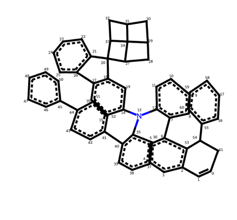 C1=Cc2cccc(-c3ccccc3N(c3ccc4c(c3)C3(c5ccccc5-4)C4CC5CC6CC3C564)c3ccccc3-c3ccc(-c4ccccc4)cc3)c2C(c2ccccc2)C1